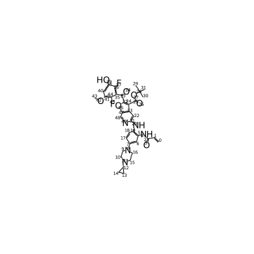 C=CC(=O)Nc1cc(N2CCN(C3CC3)CC2)ccc1Nc1cc2c(C(=O)OC(C)(C)C)c(C(=O)c3c(F)c(O)cc(OC)c3F)oc2cn1